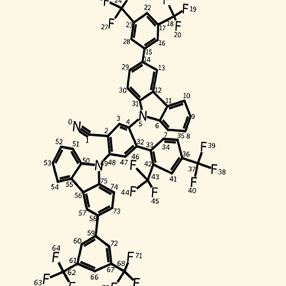 N#Cc1cc(-n2c3ccccc3c3cc(-c4cc(C(F)(F)F)cc(C(F)(F)F)c4)ccc32)c(-c2ccc(C(F)(F)F)cc2C(F)(F)F)cc1-n1c2ccccc2c2cc(-c3cc(C(F)(F)F)cc(C(F)(F)F)c3)ccc21